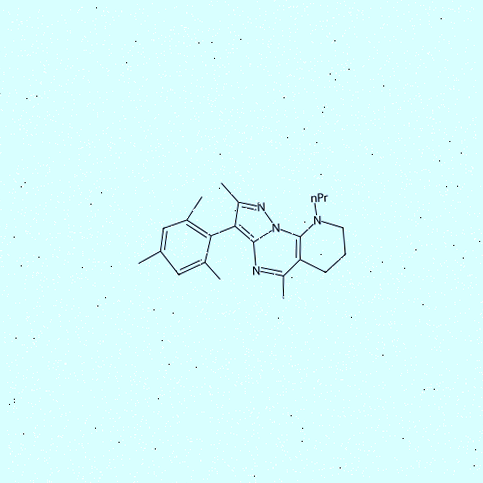 CCCN1CCCc2c(C)nc3c(-c4c(C)cc(C)cc4C)c(C)nn3c21